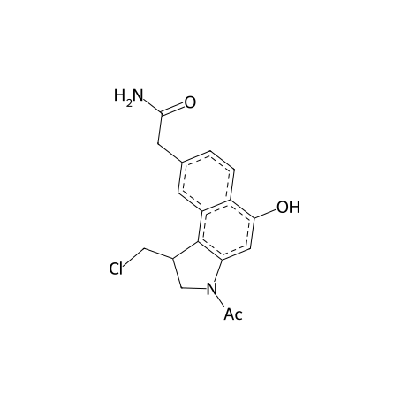 CC(=O)N1CC(CCl)c2c1cc(O)c1ccc(CC(N)=O)cc21